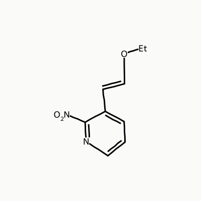 CCOC=Cc1cccnc1[N+](=O)[O-]